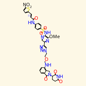 COc1nc(-c2cn(CCOCNc3cccc4c3CN(C3CCC(=O)NC3=O)C4=O)nn2)cnc1NS(=O)(=O)c1ccc(NC(=O)/C=C/c2ccc([N+](=O)[O-])s2)cc1